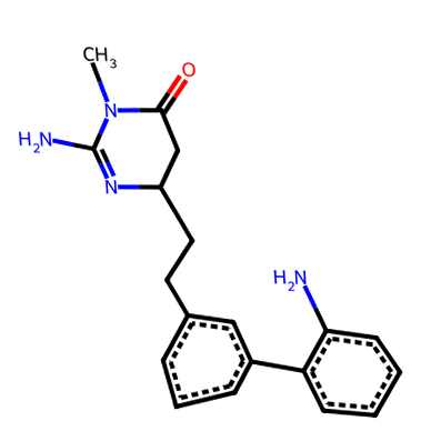 CN1C(=O)CC(CCc2cccc(-c3ccccc3N)c2)N=C1N